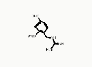 COc1cc(C=O)ccc1CNC(=N)N